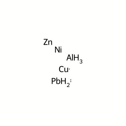 [AlH3].[Cu].[Ni].[PbH2].[Zn]